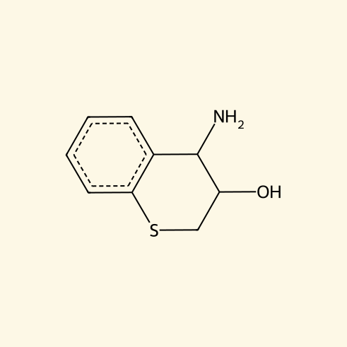 NC1c2ccccc2SCC1O